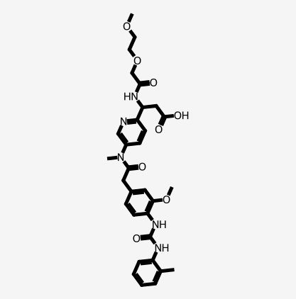 COCCOCC(=O)NC(CC(=O)O)c1ccc(N(C)C(=O)Cc2ccc(NC(=O)Nc3ccccc3C)c(OC)c2)cn1